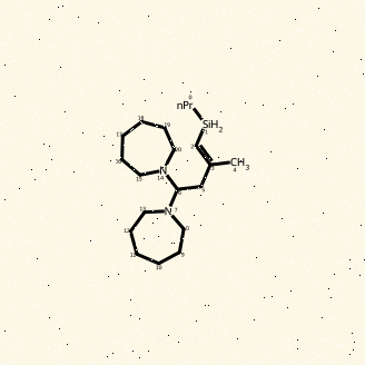 CCC[SiH2]C=C(C)CC(N1CCCCCC1)N1CCCCCC1